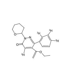 [2H]c1ccc(-c2nn(C3CCCCO3)c(=O)c([2H])c2C(=C)OCC)c([2H])c1[2H]